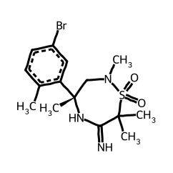 Cc1ccc(Br)cc1[C@]1(C)CN(C)S(=O)(=O)C(C)(C)C(=N)N1